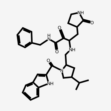 CC(C)C1CC(CNC(CC2CCNC2=O)C(=O)C(=O)NCc2ccccc2)N(C(=O)c2cc3ccccc3[nH]2)C1